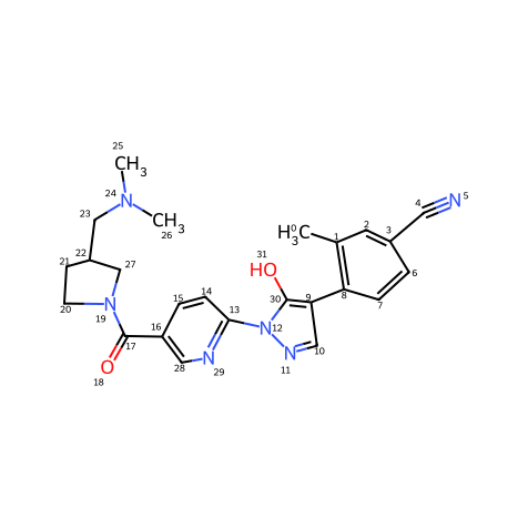 Cc1cc(C#N)ccc1-c1cnn(-c2ccc(C(=O)N3CCC(CN(C)C)C3)cn2)c1O